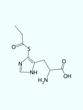 CCC(=O)Sc1nc[nH]c1CC(N)C(=O)O